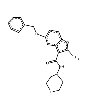 Cc1oc2ccc(OCc3ccccc3)cc2c1C(=O)NC1CCOCC1